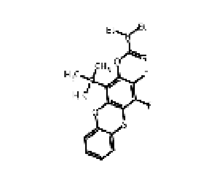 CCN(CC)C(=S)Oc1c(F)c(F)c2c(c1[Si](C)(C)C)Oc1ccccc1S2